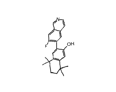 CC1(C)CCC(C)(C)c2cc(-c3cc4ccncc4cc3F)c(O)cc21